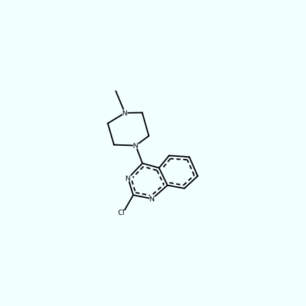 CN1CCN(c2nc(Cl)nc3ccccc23)CC1